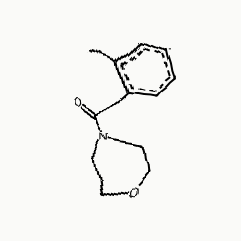 Cc1c[c]ccc1C(=O)N1CCOCC1